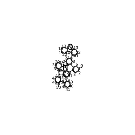 Cc1ccc2c(c1)-c1cc(-c3cccc4oc5ccccc5c34)ccc1N(c1ccccc1Cl)c1ccc(-c3ccccc3-c3ccccc3C)cc1-2